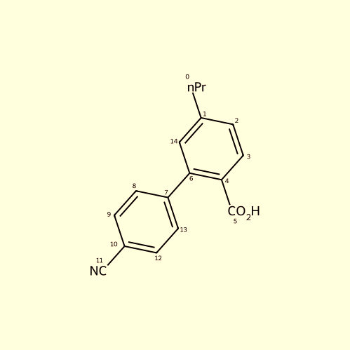 CCCc1ccc(C(=O)O)c(-c2ccc(C#N)cc2)c1